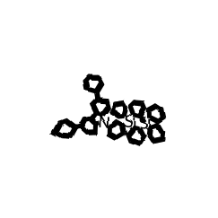 c1ccc(-c2ccc3c(c2)c2cc(-c4ccccc4)ccc2n3-c2cccc([Si]3(c4ccccc4)c4ccccc4[Si](c4ccccc4)(c4ccccc4)c4ccccc43)c2)cc1